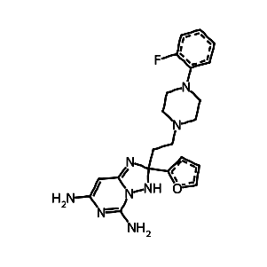 NC1=CC2=NC(CCN3CCN(c4ccccc4F)CC3)(c3ccco3)NN2C(N)=N1